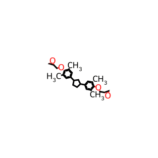 Cc1cc(C2CCC(c3cc(C)c(OCC4CO4)c(C)c3)C2)cc(C)c1OCC1CO1